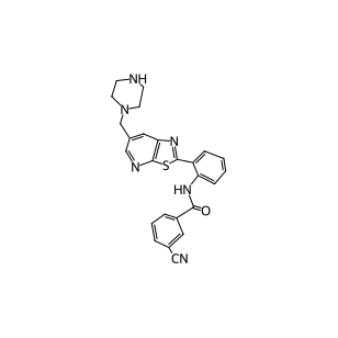 N#Cc1cccc(C(=O)Nc2ccccc2-c2nc3cc(CN4CCNCC4)cnc3s2)c1